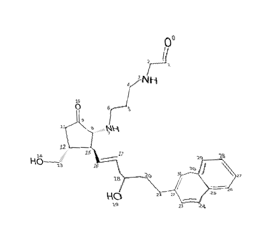 O=CCNCCCN[C@H]1C(=O)C[C@@H](CO)[C@@H]1/C=C/C(O)CCc1ccc2ccccc2c1